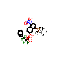 C[S+](C)c1ccc([N+](=O)[O-])c2ccccc12.O=S(=O)([O-])C(F)(F)C(F)(F)C1CC2CCC1C2